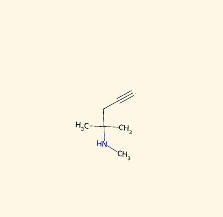 [C]#CCC(C)(C)NC